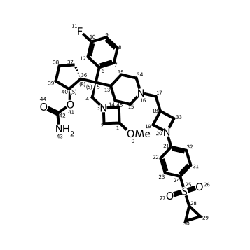 COC1CN(C[C@@](c2cccc(F)c2)(C2CCN(CC3CN(c4ccc(S(=O)(=O)C5CC5)cc4)C3)CC2)[C@H]2CCC[C@@H]2OC(N)=O)C1